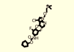 C[Si](C)(C)CCOCn1cc(Cl)c2c(Oc3c(F)cc(NC(=O)Oc4ccccc4)cc3F)ccnc21